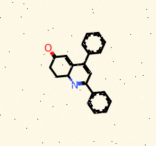 O=C1C=C2C(c3ccccc3)=CC(c3ccccc3)=NC2CC1